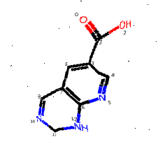 O=C(O)c1cnc2c(c1)C=NCN2